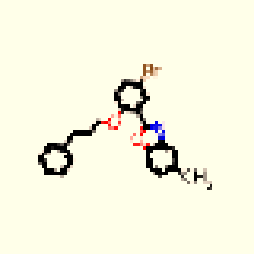 Cc1ccc2oc(-c3cc(Br)ccc3OC/C=C/c3ccccc3)nc2c1